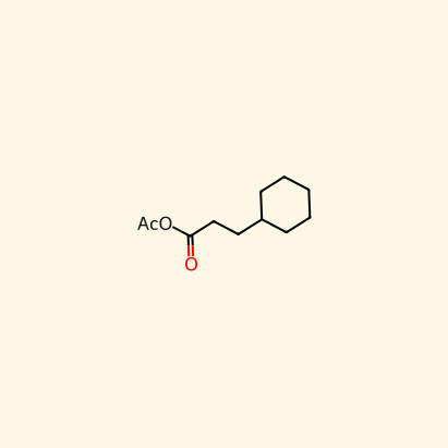 CC(=O)OC(=O)CCC1CCCCC1